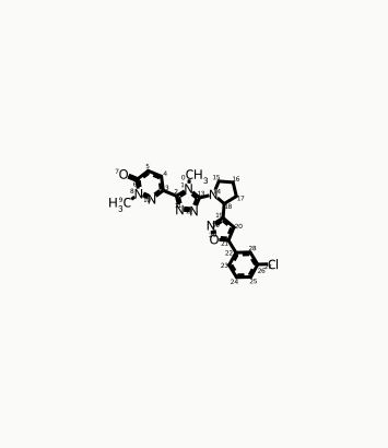 Cn1c(-c2ccc(=O)n(C)n2)nnc1N1CCCC1c1cc(-c2cccc(Cl)c2)on1